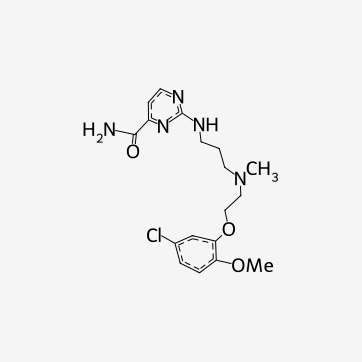 COc1ccc(Cl)cc1OCCN(C)CCCNc1nccc(C(N)=O)n1